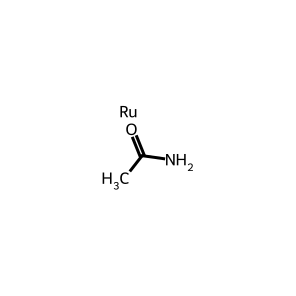 CC(N)=O.[Ru]